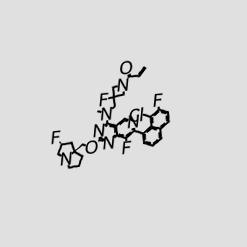 C=CC(=O)N1CC(F)(CN(C)c2nc(OC[C@@]34CCCN3C[C@H](F)C4)nc3c(F)c(-c4cccc5ccc(F)c(Cl)c45)ncc23)C1